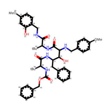 COc1ccc(CNC(C(=O)NC(C(=O)NCc2ccc(OC)cc2O)C(C)(C)C)C(O)C(Cc2ccccc2)NC(=O)C(NC(=O)OCc2ccccc2)C(C)(C)C)cc1